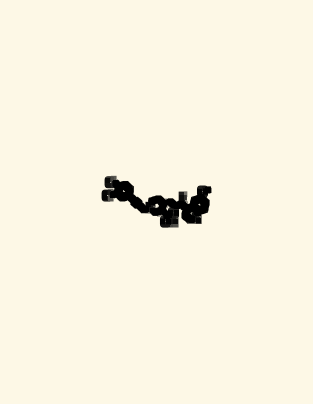 COc1ccc2nccc([C@H](F)CC[C@@H]3CCN(CC#Cc4ccc(Cl)c(Cl)c4)C[C@@H]3C(=O)O)c2c1